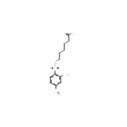 COc1cc([N+](=O)[O-])ccc1S(=O)(=O)NCCCCCC(=O)O